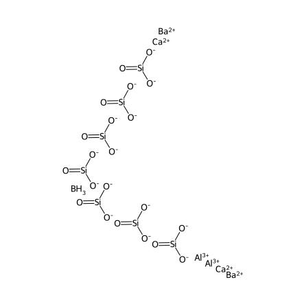 B.O=[Si]([O-])[O-].O=[Si]([O-])[O-].O=[Si]([O-])[O-].O=[Si]([O-])[O-].O=[Si]([O-])[O-].O=[Si]([O-])[O-].O=[Si]([O-])[O-].[Al+3].[Al+3].[Ba+2].[Ba+2].[Ca+2].[Ca+2]